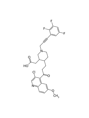 COc1ccc2ncc(Cl)c(C(=O)CCC3CCN(CC#Cc4cc(F)cc(F)c4F)CC3CC(=O)O)c2c1